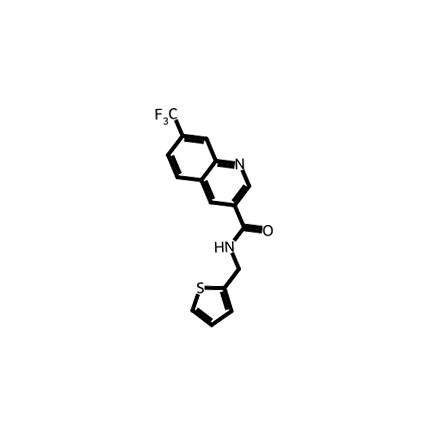 O=C(NCc1cccs1)c1cnc2cc(C(F)(F)F)ccc2c1